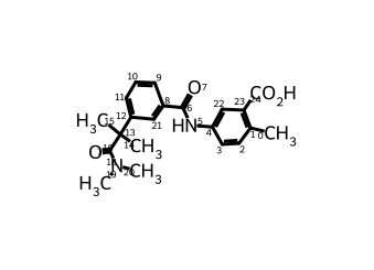 Cc1ccc(NC(=O)c2cccc(C(C)(C)C(=O)N(C)C)c2)cc1C(=O)O